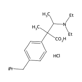 CCN(CC)C(C)C(C)(C(=O)O)c1ccc(CC(C)C)cc1.Cl